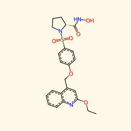 CCOc1cc(COc2ccc(S(=O)(=O)N3CCC[C@@H]3C(=O)NO)cc2)c2ccccc2n1